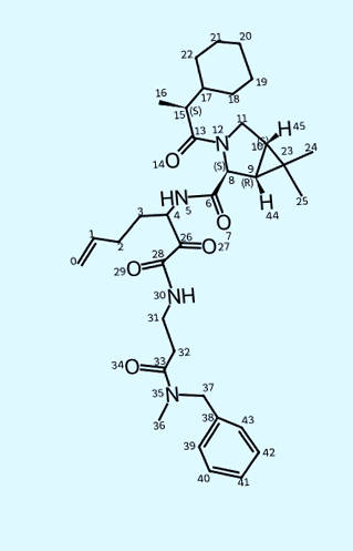 C=CCCC(NC(=O)[C@@H]1[C@@H]2[C@H](CN1C(=O)[C@@H](C)C1CCCCC1)C2(C)C)C(=O)C(=O)NCCC(=O)N(C)Cc1ccccc1